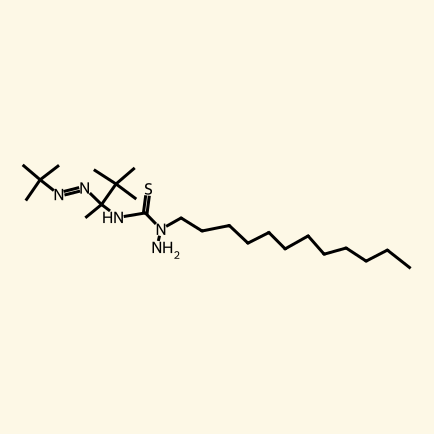 CCCCCCCCCCCCN(N)C(=S)NC(C)(/N=N/C(C)(C)C)C(C)(C)C